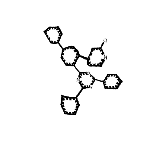 Clc1cc(-c2cc(-c3ccccc3)ccc2-c2nc(-c3ccccc3)nc(-c3ccccc3)n2)ccn1